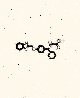 O=C(O)C1ON1C(c1ccc(OCc2nc3ccccc3s2)cc1)C1CCCCC1